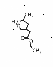 CCOC(=O)CC(C=O)CC(C)C